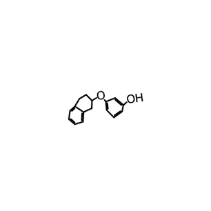 Oc1cccc(OC2CCc3ccccc3C2)c1